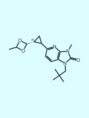 CC1OC([C@@H]2CC2c2ccc3c(n2)n(C)c(=O)n3CC(C)(C)C)O1